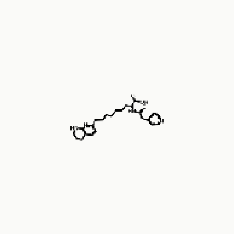 O=C(Cc1ccncc1)NC(CCCCCCCc1ccc2c(n1)NCCC2)C(=O)O